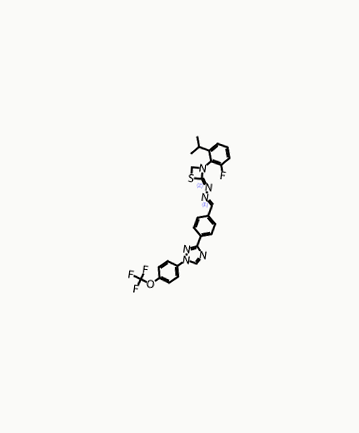 CC(C)c1cccc(F)c1N1CS/C1=N\N=C\c1ccc(-c2ncn(-c3ccc(OC(F)(F)F)cc3)n2)cc1